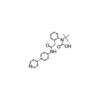 CC(C)(C)N(C(=O)O)c1ccccc1CC(=O)Nc1ccc(-c2ccncc2)cc1